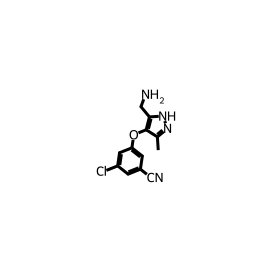 Cc1n[nH]c(CN)c1Oc1cc(Cl)cc(C#N)c1